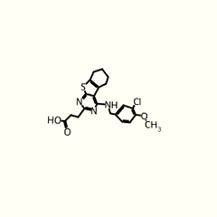 COc1ccc(CNc2nc(CCC(=O)O)nc3sc4c(c23)CCCC4)cc1Cl